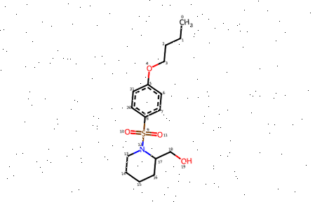 CCCCOc1ccc(S(=O)(=O)N2CCCCC2CO)cc1